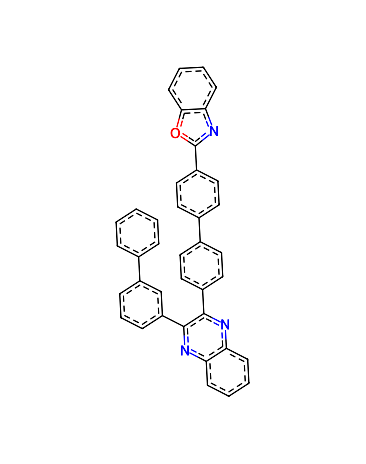 c1ccc(-c2cccc(-c3nc4ccccc4nc3-c3ccc(-c4ccc(-c5nc6ccccc6o5)cc4)cc3)c2)cc1